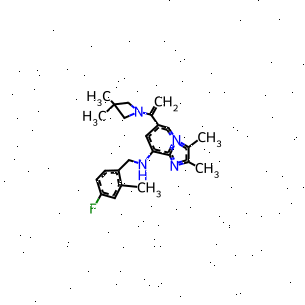 C=C(c1cc(NCc2ccc(F)cc2C)c2nc(C)c(C)n2c1)N1CC(C)(C)C1